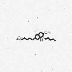 CCC/C=C/[C@@H]1[C@H]2CC(CCCCCOC)C[C@H]2C[C@H]1O